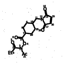 CCC(=O)N(OC(=O)C1CCC(CN2C(=O)C=CC2=O)CC1)C(C)=O